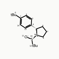 CC(C)(C)c1ccc([C@@H]2CCCN2[S+]([O-])C(C)(C)C)cc1